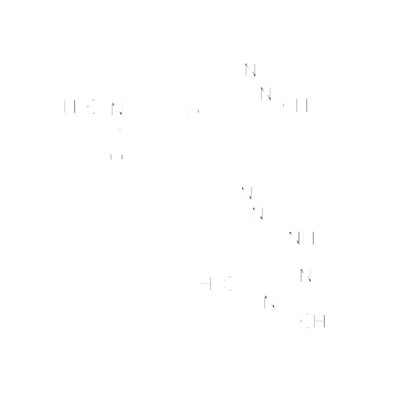 Cc1cc(Nc2cc3cc(-c4c(OC[C@@H]5CC(=O)N(C)C5)cnn4C)ccn3n2)nc(C)n1